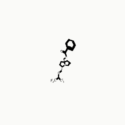 O=C(OC[C@@]12CCCN1[C@H](COC(C(F)(F)F)C(F)(F)F)CC2)c1ccccc1